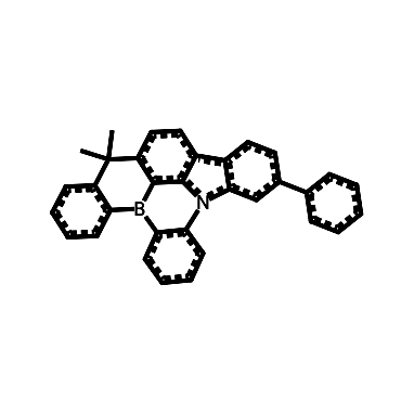 CC1(C)c2ccccc2B2c3ccccc3-n3c4cc(-c5ccccc5)ccc4c4ccc1c2c43